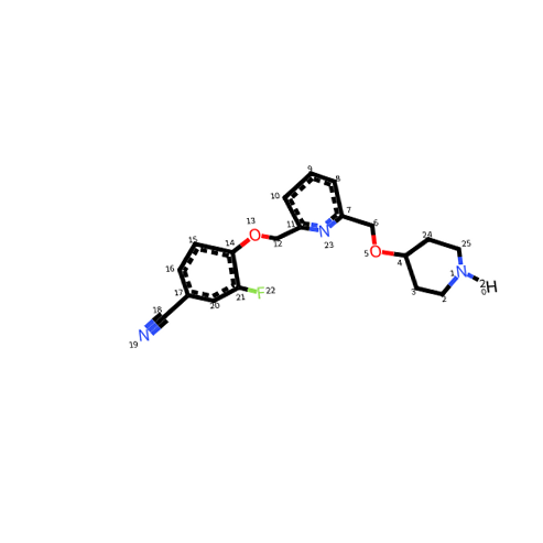 [2H]N1CCC(OCc2cccc(COc3ccc(C#N)cc3F)n2)CC1